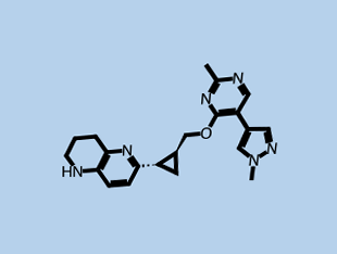 Cc1ncc(-c2cnn(C)c2)c(OC[C@H]2C[C@@H]2c2ccc3c(n2)CCCN3)n1